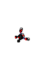 COc1ccc(/C=C/c2cc3cc(-c4ccccc4)ccc3c3c2OCOc2c(/C=C/c4ccc(OC)cc4)cc4cc(-c5ccccc5)ccc4c2-3)cc1